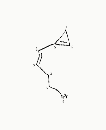 CCCCC/C=[C]\C1=CC1